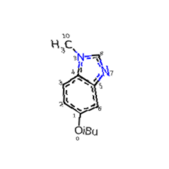 CC(C)COc1ccc2c(c1)n[c]n2C